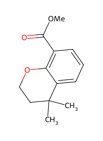 COC(=O)c1cccc2c1OCCC2(C)C